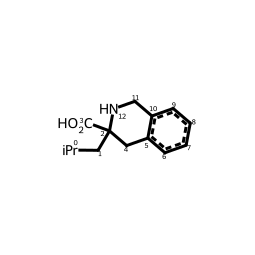 CC(C)CC1(C(=O)O)Cc2ccccc2CN1